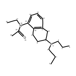 CCCN(CCC)C1CCc2c(cccc2N(CC)C(C)=O)C1